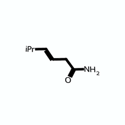 CC(C)C=CCC(N)=O